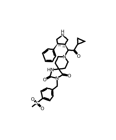 CS(=O)(=O)c1ccc(CN2C(=O)NC3(CCN(C(C(=O)C4CC4)[C@@H]4CNC[C@@H]4c4ccccc4)CC3)C2=O)cc1